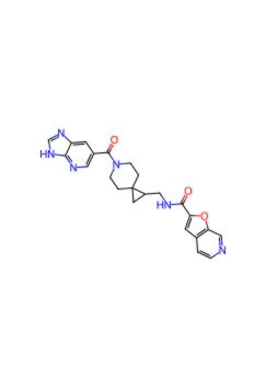 O=C(NCC1CC12CCN(C(=O)c1cnc3[nH]cnc3c1)CC2)c1cc2ccncc2o1